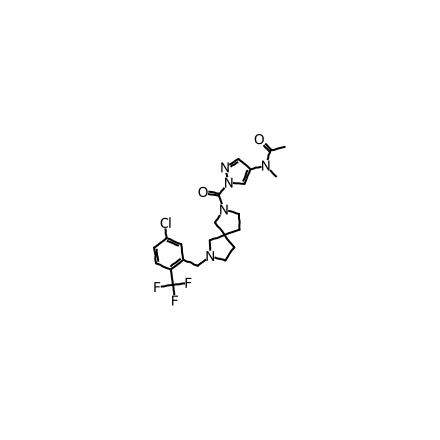 CC(=O)N(C)c1cnn(C(=O)N2CCC3(CCN(Cc4cc(Cl)ccc4C(F)(F)F)C3)C2)c1